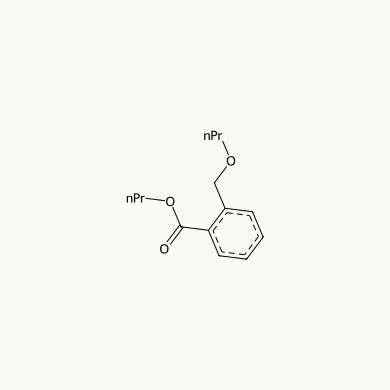 CCCOCc1ccccc1C(=O)OCCC